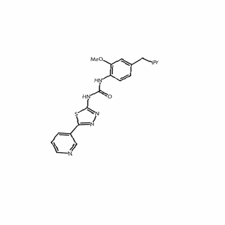 COc1cc(CC(C)C)ccc1NC(=O)Nc1nnc(-c2cccnc2)s1